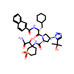 CC(C)(O)c1cnnn1[C@H]1C[C@@H](C(=O)NC2(C(O)C(N)=O)CCCS(=O)(=O)C2)N(C(=O)[C@@H](CC2CCCCC2)NC(=O)c2ccc3ccccc3c2)C1